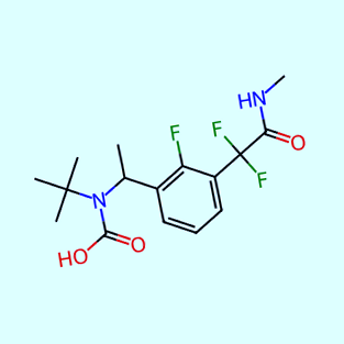 CNC(=O)C(F)(F)c1cccc(C(C)N(C(=O)O)C(C)(C)C)c1F